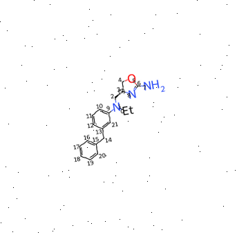 CCN(C[C@H]1COC(N)=N1)c1cccc(Cc2ccccc2)c1